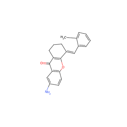 Cc1ccccc1C=C1CCCc2c1oc1ccc(N)cc1c2=O